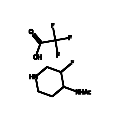 CC(=O)NC1CCNCC1F.O=C(O)C(F)(F)F